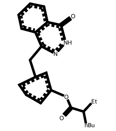 CCCCC(CC)C(=O)Oc1cccc(Cc2n[nH]c(=O)c3ccccc23)c1